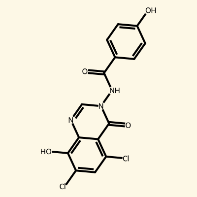 O=C(Nn1cnc2c(O)c(Cl)cc(Cl)c2c1=O)c1ccc(O)cc1